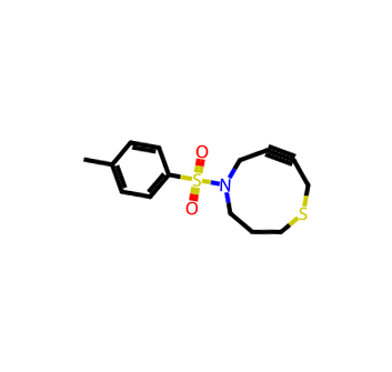 Cc1ccc(S(=O)(=O)N2CC#CCSCCC2)cc1